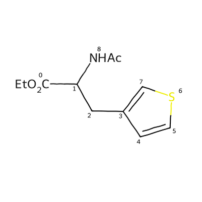 CCOC(=O)C(Cc1ccsc1)NC(C)=O